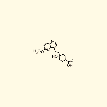 COc1ccc2nccc(CCC3(O)CCC(C(=O)O)CC3)c2n1